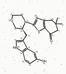 CC1(C)CC(=O)c2sc(N3CCOC[C@@H]3Cc3c[nH]c4ccc(O)cc34)nc2C1